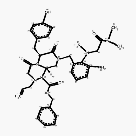 C=CCN1CC(=O)N2[C@@H](Cc3ccc(O)cc3)C(=O)N(Cc3cccc(N)c3N(N)CC(=O)N(C)C)C[C@@H]2N1C(=O)NCc1ccccc1